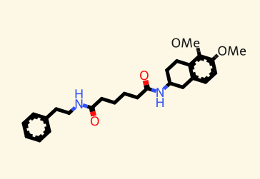 COc1ccc2c(c1OC)CCC(NC(=O)CCCCC(=O)NCCc1ccccc1)C2